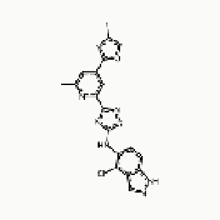 Cc1cc(-c2nc(C)co2)cc(-c2nsc(Nc3ccc4[nH]ncc4c3Cl)n2)n1